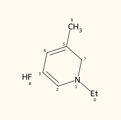 CCN1C=CC=C(C)C1.F